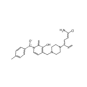 C=N/C(=C\C=C(/N)Cl)N1CCN(CC2=C(O)C(=C)N([S+]([O-])c3ccc(C)cc3)C=C2)CC1